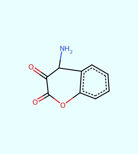 NC1C(=O)C(=O)Oc2ccccc21